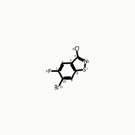 Fc1cc2c(Cl)nsc2cc1Br